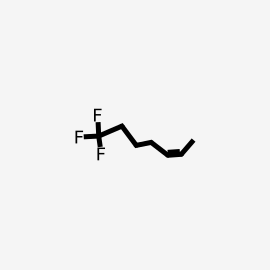 C/C=C\CCCC(F)(F)F